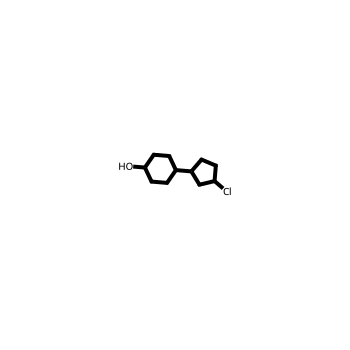 OC1CCC([C]2CCC(Cl)C2)CC1